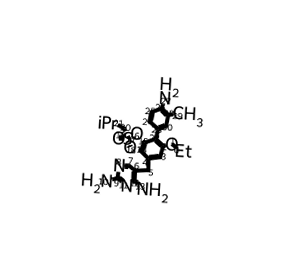 CCOc1cc(Cc2cnc(N)nc2N)cc(OS(=O)(=O)CC(C)C)c1-c1ccc(N)c(C)c1